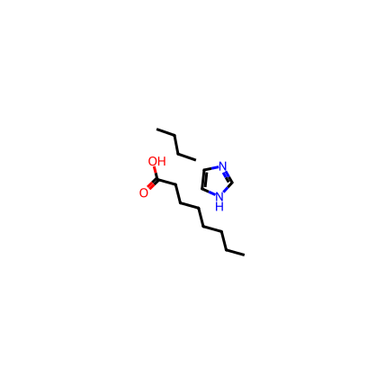 CCCC.CCCCCCCC(=O)O.c1c[nH]cn1